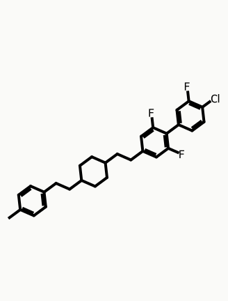 Cc1ccc(CCC2CCC(CCc3cc(F)c(-c4ccc(Cl)c(F)c4)c(F)c3)CC2)cc1